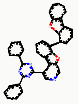 c1ccc(-c2nc(-c3ccccc3)nc(-c3cncc4oc5c(-c6cccc7c6oc6ccccc67)cccc5c34)n2)cc1